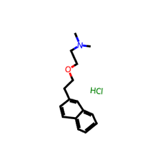 CN(C)CCOCCc1ccc2ccccc2c1.Cl